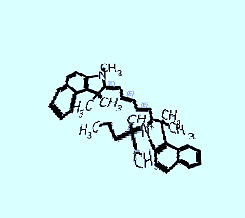 CCCC(C)(C)[N+]1=C(/C=C/C=C/C=C2/N(C)c3ccc4ccccc4c3C2(C)C)C(C)(C)c2c1ccc1ccccc21